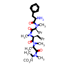 CC(C)C[C@@H](C(=O)N(C)[C@@H](C)C(=O)N(C)[C@@H](C)C(=O)O)N(C)C(=O)[C@H](C(C)C)N(C)C(=O)[C@@H](N)Cc1ccccc1